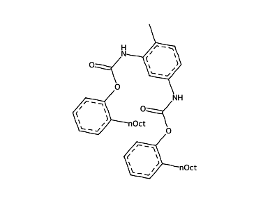 CCCCCCCCc1ccccc1OC(=O)Nc1ccc(C)c(NC(=O)Oc2ccccc2CCCCCCCC)c1